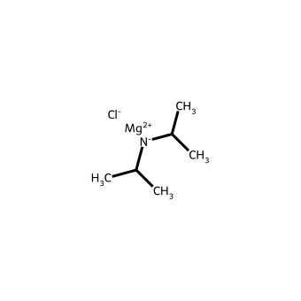 CC(C)[N-]C(C)C.[Cl-].[Mg+2]